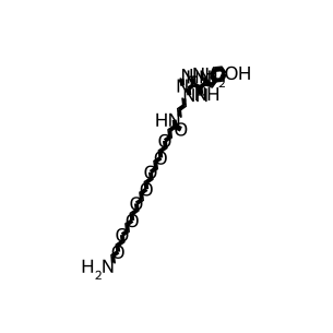 N=C(c1cc2cc(O)ccc2[nH]1)c1c(N)ncnc1NCCCCNC(=O)CCOCCOCCOCCOCCOCCOCCOCCOCCN